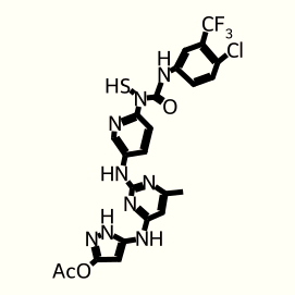 CC(=O)Oc1cc(Nc2cc(C)nc(Nc3ccc(N(S)C(=O)Nc4ccc(Cl)c(C(F)(F)F)c4)nc3)n2)[nH]n1